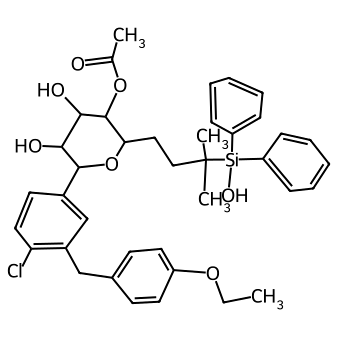 CCOc1ccc(Cc2cc(C3OC(CCC(C)(C)[Si](O)(c4ccccc4)c4ccccc4)C(OC(C)=O)C(O)C3O)ccc2Cl)cc1